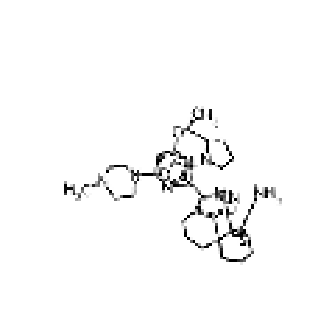 C[C@H](Oc1cc(N2CCN(C)CC2)nc(-c2noc3c2CCC[C@@]32CCCc3sc(N)c(C#N)c32)n1)[C@@H]1CCCN1[C@@H]1CCOC1